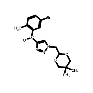 Cc1ccc(Br)cc1[S+]([O-])c1cn(CC2OCC(C)(C)CO2)nn1